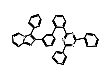 c1ccc(-c2nc(-c3ccccc3)nc(-c3ccccc3-c3cccc(-c4nc5ccccn5c4-c4ccccc4)c3)n2)cc1